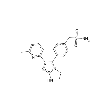 Cc1cccc(-c2nc3n(c2-c2ccc(CS(N)(=O)=O)cc2)CCN3)n1